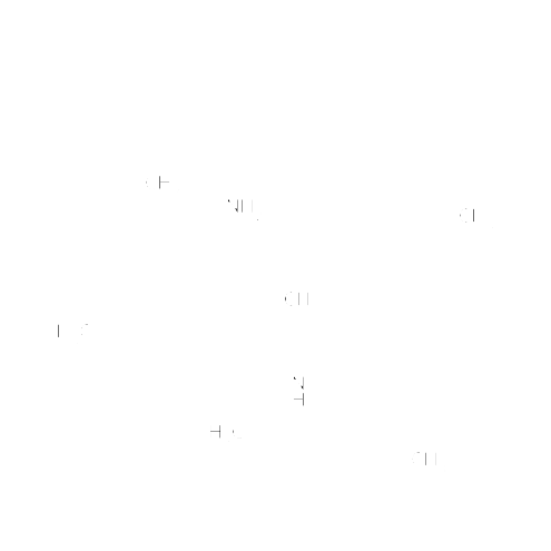 CCCC(C)CC(CCN)C(C)NCC(CCC)CC(CC)C1CCCCC1C